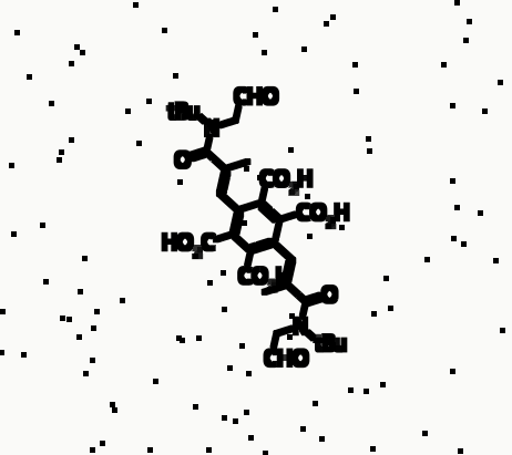 CC(=Cc1c(C(=O)O)c(C(=O)O)c(C=C(C)C(=O)N(CC=O)C(C)(C)C)c(C(=O)O)c1C(=O)O)C(=O)N(CC=O)C(C)(C)C